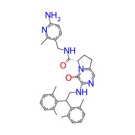 Cc1cccc(C)c1C(CNc1ncc2n(c1=O)[C@H](C(=O)NCc1ccc(N)nc1C)CC2)c1c(C)cccc1C